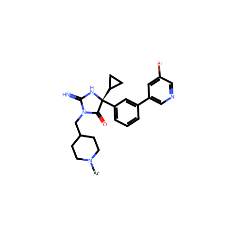 CC(=O)N1CCC(CN2C(=N)N[C@@](c3cccc(-c4cncc(Br)c4)c3)(C3CC3)C2=O)CC1